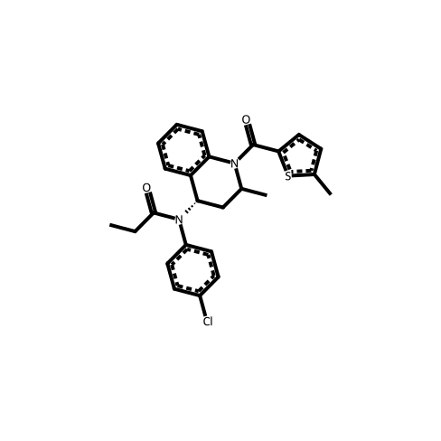 CCC(=O)N(c1ccc(Cl)cc1)[C@H]1CC(C)N(C(=O)c2ccc(C)s2)c2ccccc21